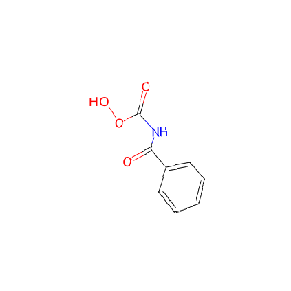 O=C(NC(=O)c1ccccc1)OO